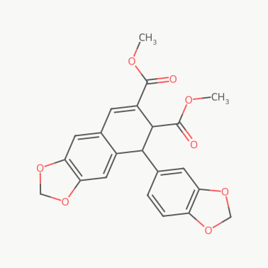 COC(=O)C1=Cc2cc3c(cc2C(c2ccc4c(c2)OCO4)C1C(=O)OC)OCO3